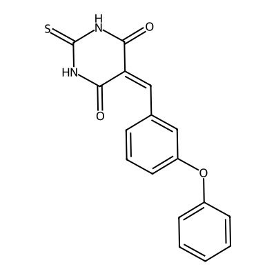 O=C1NC(=S)NC(=O)C1=Cc1cccc(Oc2ccccc2)c1